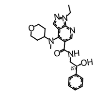 CCn1ncc2c(N(C)C3CCOCC3)c(C(=O)NC[C@@H](O)c3ccccc3)cnc21